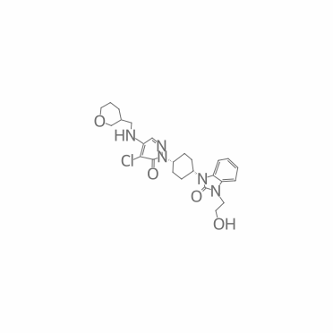 O=c1c(Cl)c(NCC2CCCOC2)cnn1[C@H]1CC[C@@H](n2c(=O)n(CCO)c3ccccc32)CC1